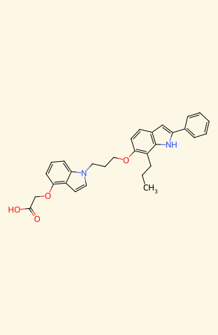 CCCc1c(OCCCn2ccc3c(OCC(=O)O)cccc32)ccc2cc(-c3ccccc3)[nH]c12